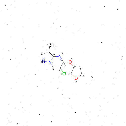 Cc1cnn2cc(Cl)c(OC3CCOC3)nc12